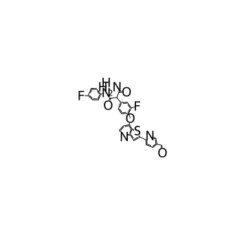 NC(=O)C(C(=O)Nc1ccc(F)cc1)c1ccc(Oc2ccnc3cc(-c4ccc(C=O)cn4)sc23)c(F)c1